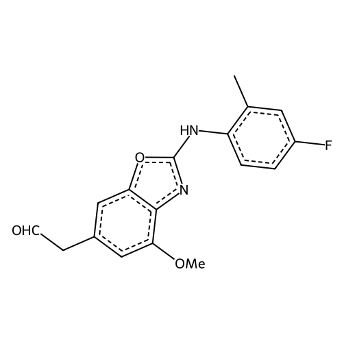 COc1cc(CC=O)cc2oc(Nc3ccc(F)cc3C)nc12